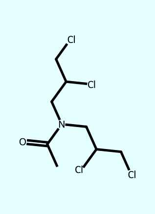 CC(=O)N(CC(Cl)CCl)CC(Cl)CCl